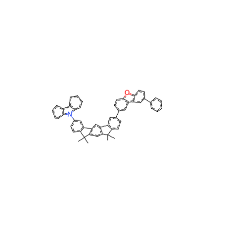 CC1(C)c2ccc(-c3ccc4oc5ccc(-c6ccccc6)cc5c4c3)cc2-c2cc3c(cc21)C(C)(C)c1ccc(-n2c4ccccc4c4ccccc42)cc1-3